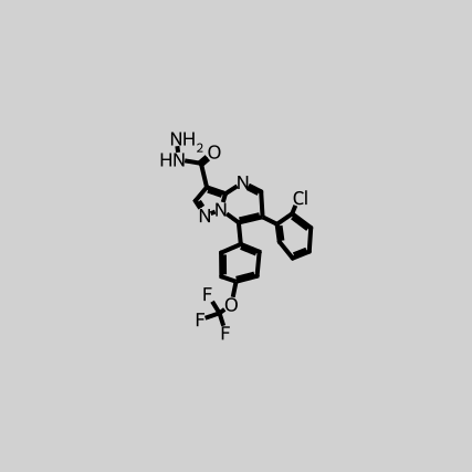 NNC(=O)c1cnn2c(-c3ccc(OC(F)(F)F)cc3)c(-c3ccccc3Cl)cnc12